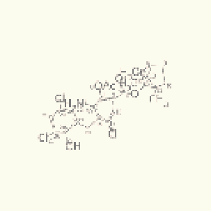 CC(=O)Oc1c(C(=O)OC2CC3CCC2(C)C3(C)C)cc(Cl)c(Cc2cc(Cl)cc(Cl)c2O)c1N